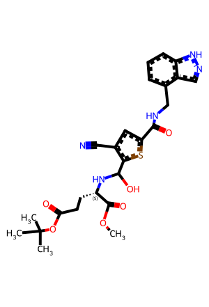 COC(=O)[C@H](CCC(=O)OC(C)(C)C)NC(O)c1sc(C(=O)NCc2cccc3[nH]ncc23)cc1C#N